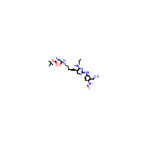 CCCNc1nc(Nc2ccc(NC=O)c(C=N)c2)ncc1C#CCCCNC(=O)CN(C)C(=O)OC(C)(C)C